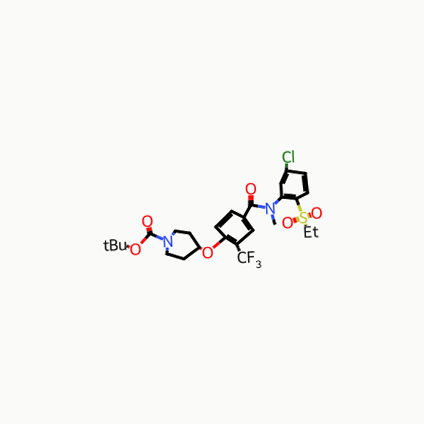 CCS(=O)(=O)c1ccc(Cl)cc1N(C)C(=O)c1ccc(OC2CCN(C(=O)OC(C)(C)C)CC2)c(C(F)(F)F)c1